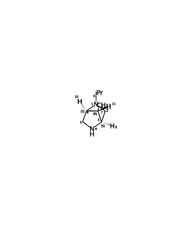 CC(C)N1C[C@H]2NC[C@@H]1[C@@H]2C